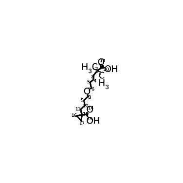 CC(C)(CCCCOCCCCC1(C(=O)O)CC1)C(=O)O